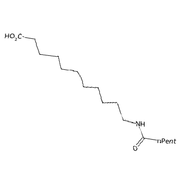 CCCCCC(=O)NCCCCCCCCCCC(=O)O